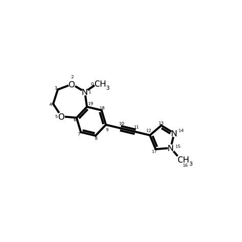 CN1OCCOc2ccc(C#Cc3cnn(C)c3)cc21